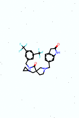 O=C1Cc2ccc(CN3CCC(CC4CC4)(C(=O)NCc4cc(C(F)(F)F)cc(C(F)(F)F)c4)C3)cc2N1